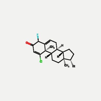 CC[C@H]1CC[C@H]2[C@@H]3CC=C4[C@H](F)C(=O)C=C(Cl)[C@]4(C)[C@H]3CC[C@]12C